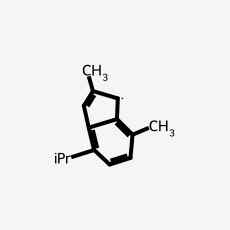 CC1=Cc2c(C(C)C)ccc(C)c2[CH]1